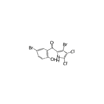 O=C(c1cc(Br)ccc1O)c1[nH]c(Cl)c(Cl)c1Br